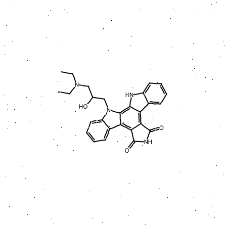 CCN(CC)CC(O)Cn1c2ccccc2c2c3c(c4c5ccccc5[nH]c4c21)C(=O)NC3=O